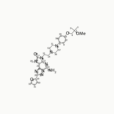 COC(C)(C)COc1ccc(N2CCN(CCn3c(=O)n(C)c4c3nc(N)n3nc(-c5ccco5)nc43)CC2)cc1